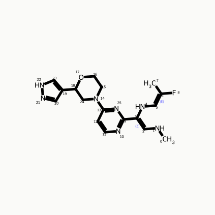 CN/C=C(\N/C=C(\C)F)c1nccc(N2CCOC(c3cn[nH]c3)C2)n1